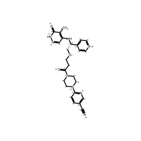 Cc1c(N[C@@H](COCCC(=O)N2CCN(c3ccc(C#N)cn3)CC2)c2ccncc2)cn[nH]c1=O